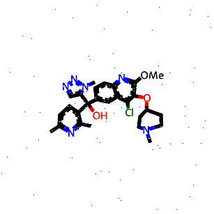 COc1nc2ccc(C(O)(c3ccc(C)nc3C)c3cnnn3C)cc2c(Cl)c1OC1CCN(C)CC1